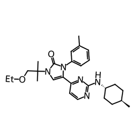 CCOCC(C)(C)n1cc(-c2ccnc(N[C@H]3CC[C@H](C)CC3)n2)n(-c2cccc(C)c2)c1=O